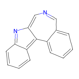 c1ccc2c3c4ccccc4nc-3cncc2c1